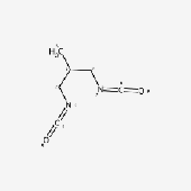 CC([CH]N=C=O)CN=C=O